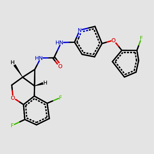 O=C(Nc1ccc(Oc2ccccc2F)cn1)NC1[C@H]2COc3c(F)ccc(F)c3[C@@H]12